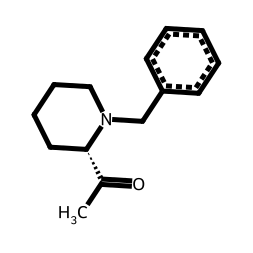 CC(=O)[C@@H]1CCCCN1Cc1ccccc1